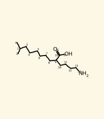 CC(C)CCCCCCC(CCCCN)C(=O)O